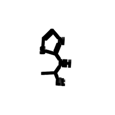 CCC(C)Nc1nccs1